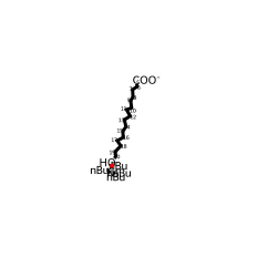 CCCC[N+](CCCC)(CCCC)CCCC.O=C([O-])CCCCCCCCCCCCCCCO